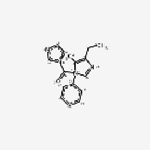 CCC1=C(C)[N+](C(=O)n2ccnc2)(c2ccccc2)C=N1